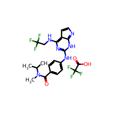 CC(C)N(C)C(=O)c1ccc(Nc2nc(NCC(F)(F)F)c3ccnc-3[nH]2)cc1.O=C(O)C(F)(F)F